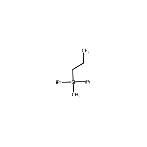 CC(C)[Si](C)(CCC(F)(F)F)C(C)C